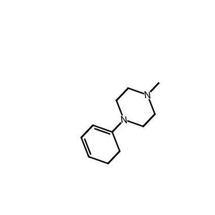 CN1CCN(C2=CC=CCC2)CC1